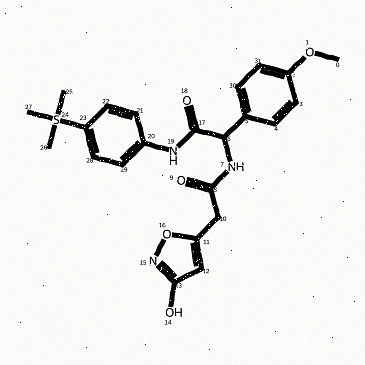 COc1ccc(C(NC(=O)Cc2cc(O)no2)C(=O)Nc2ccc(S(C)(C)C)cc2)cc1